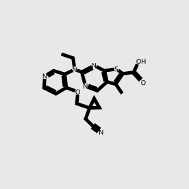 CCN(c1ncc2c(C)c(C(=O)O)sc2n1)c1cnccc1OCC1(CC#N)CC1